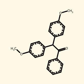 COc1ccc(C(C(=O)c2ccccc2)c2ccc(OC)cc2)cc1